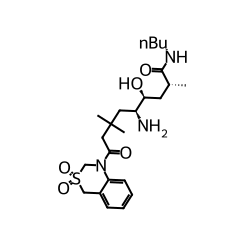 CCCCNC(=O)[C@H](C)C[C@H](O)[C@@H](N)CC(C)(C)CC(=O)N1CS(=O)(=O)Cc2ccccc21